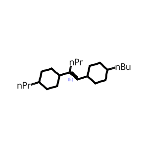 CCCCC1CCC(/C=C(\CCC)C2CCC(CCC)CC2)CC1